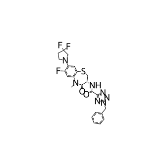 CN1C(=O)[C@@H](NC(=O)c2nnn(Cc3ccccc3)n2)CSc2cc(N3CCC(F)(F)C3)c(F)cc21